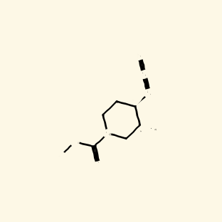 C[C@@H]1CN(C(=O)OC(C)(C)C)CC[C@H]1N=[N+]=[N-]